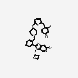 Fc1cc(Cl)ccc1Cc1cccc(OC2CCN(Cc3ccccc3-c3nc4cc(Br)ncc4n3C[C@@H]3CCO3)CC2)n1